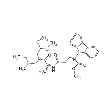 CCC(C)CN(CC(OC)OC)C(=O)[C@H](C)NC(=O)CCN(C(=O)OC)C1c2ccccc2-c2ccccc21